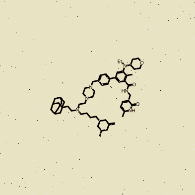 C=C1CC(C)CC(CCCCN(CCN2CCN(Cc3ccc(-c4cc(C(=O)NCc5ccc(C)[nH]c5=O)c(C)c(N(CC)C5CCOCC5)c4)cc3)CC2)CCC23CC4CC(CC(C4)C2)C3)C1